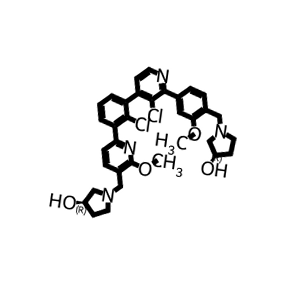 COc1cc(-c2nccc(-c3cccc(-c4ccc(CN5CC[C@@H](O)C5)c(OC)n4)c3Cl)c2Cl)ccc1CN1CC[C@@H](O)C1